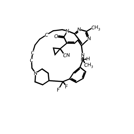 Cc1nc2c3cc(C4(C#N)CC4)c(=O)n(c3n1)CCCCCCCCN1CCC(CC1)C(F)(F)c1cccc(c1)[C@@H](C)N2